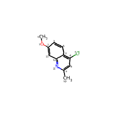 COc1ccc2c(Cl)cc(C)nc2c1